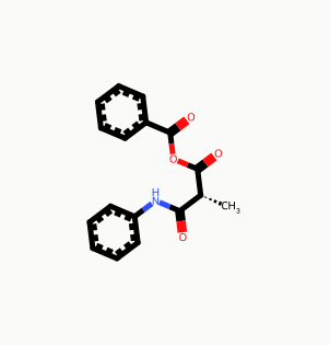 C[C@H](C(=O)Nc1ccccc1)C(=O)OC(=O)c1ccccc1